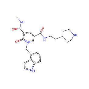 CNC(=O)c1cc(C(=O)NCCC2CCNCC2)cn(Cc2cccc3[nH]ccc23)c1=O